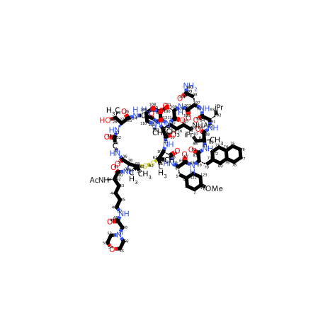 COC1CCC(C[C@H](NC(=O)[C@H]2NC(=O)[C@H](CCCCNC(C)=O)NC(=O)CNC(=O)[C@H]([C@@H](C)O)NC(=O)CNC(=O)[C@@H](NC(=O)[C@H](CCCCNC(=O)CN3CCOCC3)NC(C)=O)C(C)(C)SSC2(C)C)C(=O)N[C@@H](CC2CCC3CCCCC3C2)C(=O)N[C@@](C)(CC(C)C)C(=O)N[C@@H](CC(C)C)C(=O)N[C@@H](CC(N)=O)C(=O)N[C@@H](CC2CCCN(C)C2)C(=O)N(C)CC(N)=O)CC1